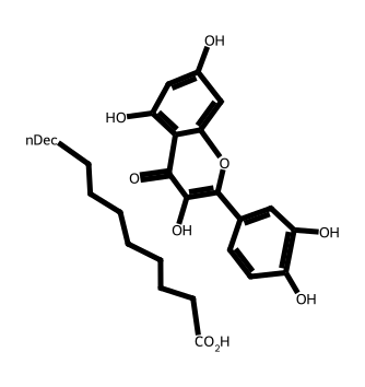 CCCCCCCCCCCCCCCCCC(=O)O.O=c1c(O)c(-c2ccc(O)c(O)c2)oc2cc(O)cc(O)c12